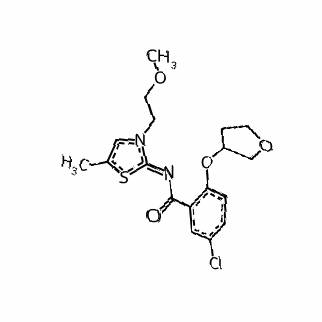 COCCn1cc(C)sc1=NC(=O)c1cc(Cl)ccc1OC1CCOC1